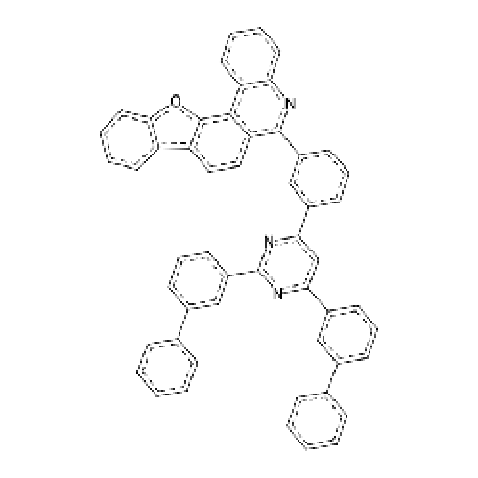 c1ccc(-c2cccc(-c3cc(-c4cccc(-c5nc6ccccc6c6c5ccc5c7ccccc7oc56)c4)nc(-c4cccc(-c5ccccc5)c4)n3)c2)cc1